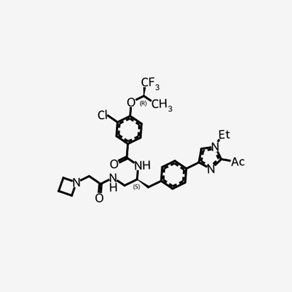 CCn1cc(-c2ccc(C[C@@H](CNC(=O)CN3CCC3)NC(=O)c3ccc(O[C@H](C)C(F)(F)F)c(Cl)c3)cc2)nc1C(C)=O